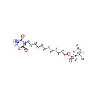 CC(C)CC(C)(C(=O)OCCCCCCCCCCCCn1c(=O)cc[nH]c1=O)C(C)C